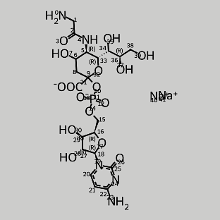 NCC(=O)N[C@@H]1C(O)CC(OP(=O)([O-])OC[C@H]2O[C@@H](n3ccc(N)nc3=O)[C@H](O)[C@H]2O)(C(=O)[O-])O[C@H]1C(O)[C@H](O)CO.[Na+].[Na+]